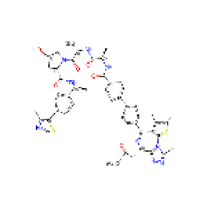 COC(=O)C[C@@H]1N=C(c2ccc(-c3ccc(C(=O)N[C@H](C)C(=O)N[C@H](C(=O)N4C[C@H](O)C[C@H]4C(=O)N[C@@H](C)c4ccc(-c5scnc5C)cc4)C(C)(C)C)cc3)cc2)c2c(sc(C)c2C)-n2c(C)nnc21